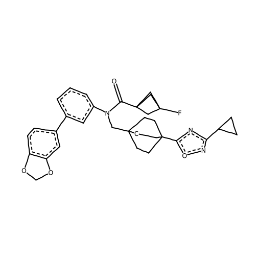 O=C(N(CC12CCC(c3nc(C4CC4)no3)(CC1)CC2)c1cccc(-c2ccc3c(c2)OCO3)c1)C12CC(F)(C1)C2